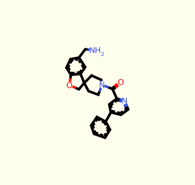 NCc1ccc2c(c1)C1(CCN(C(=O)c3cc(-c4ccccc4)ccn3)CC1)CO2